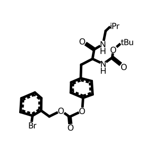 CC(C)CNC(=O)C(Cc1ccc(OC(=O)OCc2ccccc2Br)cc1)NC(=O)OC(C)(C)C